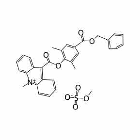 COS(=O)(=O)[O-].Cc1cc(C(=O)OCc2ccccc2)cc(C)c1OC(=O)c1c2ccccc2[n+](C)c2ccccc12